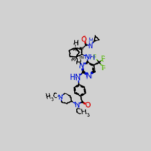 CN1CCC(N(C)C(=O)c2ccc(Nc3ncc(C(F)(F)F)c(N[C@H]4[C@@H]5CC[C@H](C5)[C@H]4C(=O)NC4CC4)n3)cc2)CC1